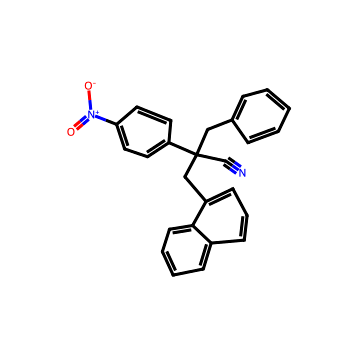 N#CC(Cc1ccccc1)(Cc1cccc2ccccc12)c1ccc([N+](=O)[O-])cc1